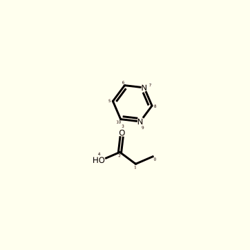 CCC(=O)O.c1cncnc1